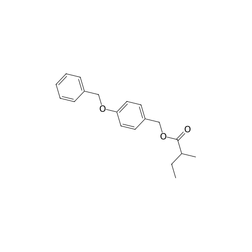 CCC(C)C(=O)OCc1ccc(OCc2ccccc2)cc1